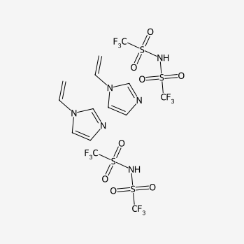 C=Cn1ccnc1.C=Cn1ccnc1.O=S(=O)(NS(=O)(=O)C(F)(F)F)C(F)(F)F.O=S(=O)(NS(=O)(=O)C(F)(F)F)C(F)(F)F